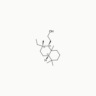 CC[C@@]1(C)CC[C@H]2C(C)(C)CCCC2(C)[C@@H]1CCO